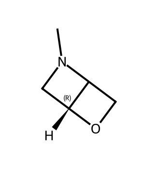 CN1C[C@H]2OCC21